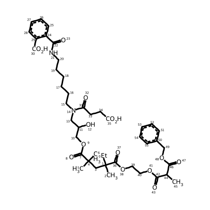 CCC(C)(CC(C)(C)C(=O)OCC(O)CN(CCCCCCNC(=O)c1ccccc1C(=O)O)C(=O)CCC(=O)O)C(=O)OCCOC(=O)C(C)C(=O)OCc1ccccc1